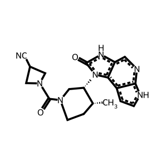 C[C@@H]1CCN(C(=O)N2CC(C#N)C2)C[C@@H]1n1c(=O)[nH]c2cnc3[nH]ccc3c21